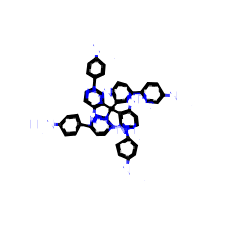 Nc1ccc(-c2ccc(N)c(C(c3cc(-c4ccc(N)cc4)ccc3N)(c3cc(-c4ccc(N)cc4)ccc3N)c3cc(-c4ccc(N)cc4)ccc3N)c2)cc1